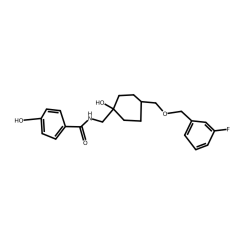 O=C(NCC1(O)CCC(COCc2cccc(F)c2)CC1)c1ccc(O)cc1